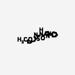 Cc1ccc(Cc2cnc(NC(=O)c3ccn(-c4ccccc4)n3)s2)o1